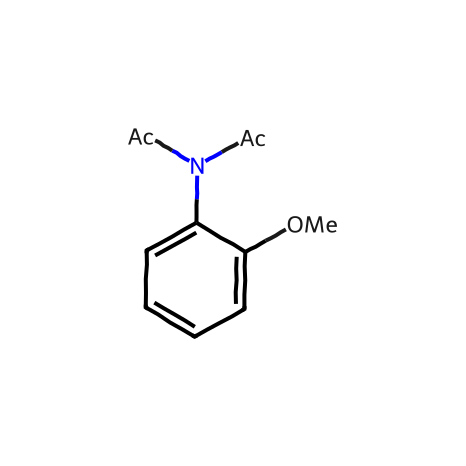 COc1ccccc1N(C(C)=O)C(C)=O